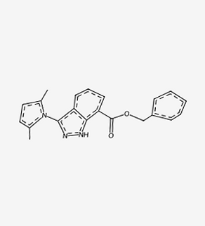 Cc1ccc(C)n1-c1n[nH]c2c(C(=O)OCc3ccccc3)cccc12